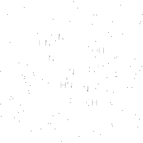 Cn1[nH]n(-c2n[nH]nc2CO)c1=O